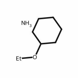 CCOC1CCCCC1.N